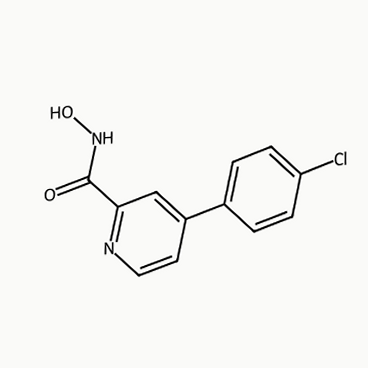 O=C(NO)c1cc(-c2ccc(Cl)cc2)ccn1